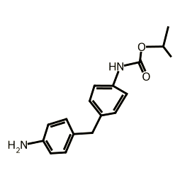 CC(C)OC(=O)Nc1ccc(Cc2ccc(N)cc2)cc1